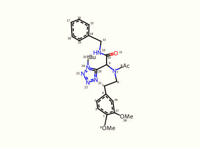 COc1ccc(CCN(C(C)=O)C(C(=O)NCc2ccccc2)c2nnnn2C(C)(C)C)cc1OC